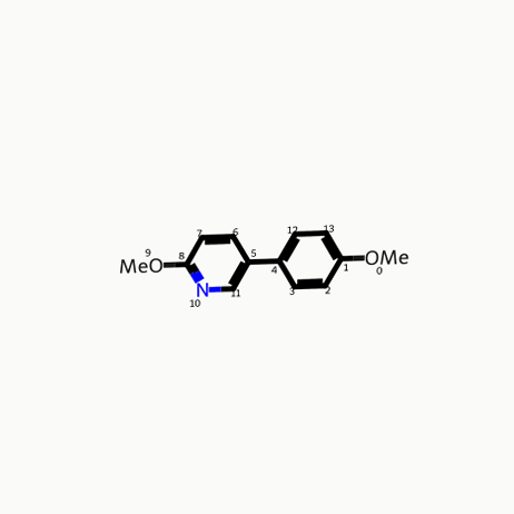 COc1ccc(-c2ccc(OC)nc2)cc1